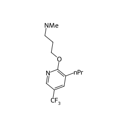 CCCc1cc(C(F)(F)F)cnc1OCCCNC